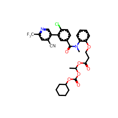 CC(OC(=O)CCOc1ccccc1N(C)C(=O)c1ccc(Cl)c(-c2cnc(C(F)(F)F)cc2C#N)c1)OC(=O)OC1CCCCC1